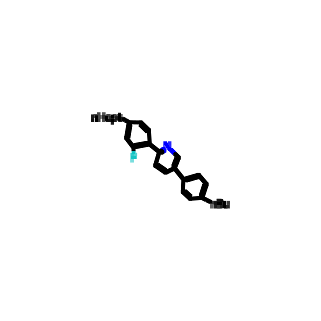 CCCCCCCc1ccc(-c2ccc(-c3ccc(CCCC)cc3)cn2)c(F)c1